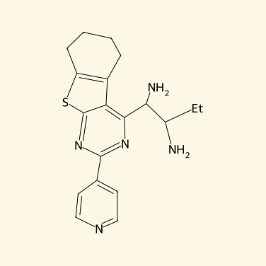 CCC(N)C(N)c1nc(-c2ccncc2)nc2sc3c(c12)CCCC3